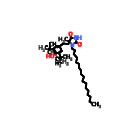 CCCCCCCCCCCCCCCCCCN1C(=O)NC(=O)C1(C)CCc1cc(C(C)(C)C)c(O)c(C(C)(C)C)c1